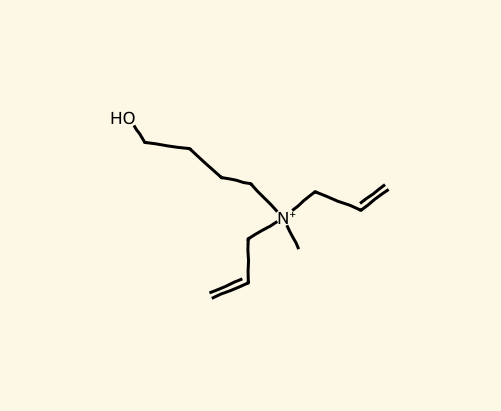 C=CC[N+](C)(CC=C)CCCCO